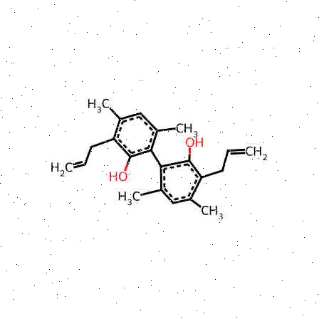 C=CCc1c(C)cc(C)c(-c2c(C)cc(C)c(CC=C)c2O)c1O